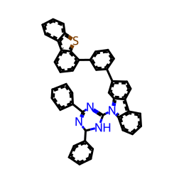 c1ccc(C2=NC(c3ccccc3)NC(n3c4ccccc4c4ccc(-c5cccc(-c6cccc7c6sc6ccccc67)c5)cc43)=N2)cc1